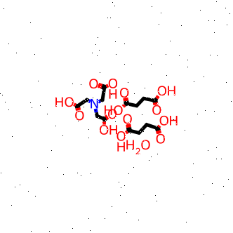 O.O=C(O)CCC(=O)O.O=C(O)CCC(=O)O.O=C(O)CN(CC(=O)O)CC(=O)O